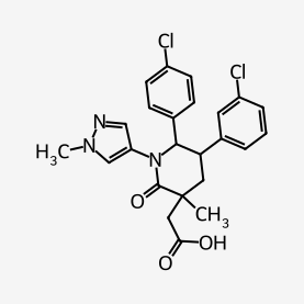 Cn1cc(N2C(=O)C(C)(CC(=O)O)CC(c3cccc(Cl)c3)C2c2ccc(Cl)cc2)cn1